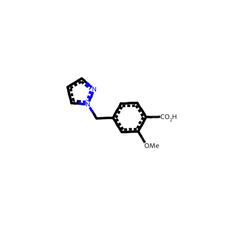 COc1cc(Cn2cccn2)ccc1C(=O)O